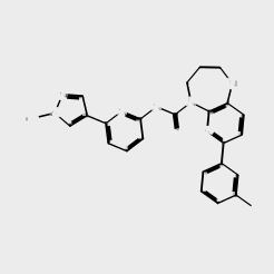 CCCn1cc(-c2cccc(NC(=O)N3CCCNc4ccc(-c5cccc(C)c5)nc43)n2)cn1